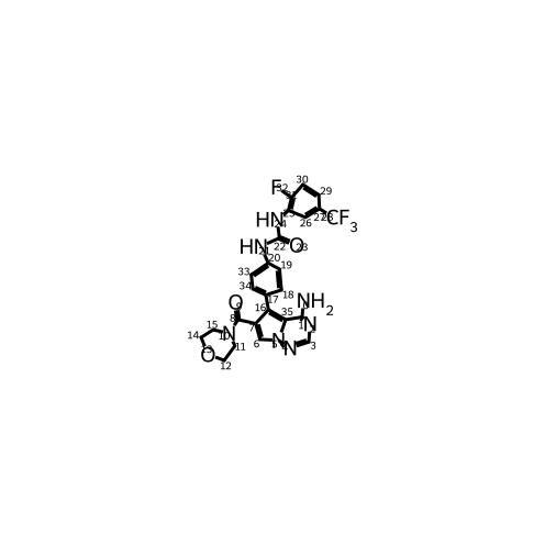 Nc1ncnn2cc(C(=O)N3CCOCC3)c(-c3ccc(NC(=O)Nc4cc(C(F)(F)F)ccc4F)cc3)c12